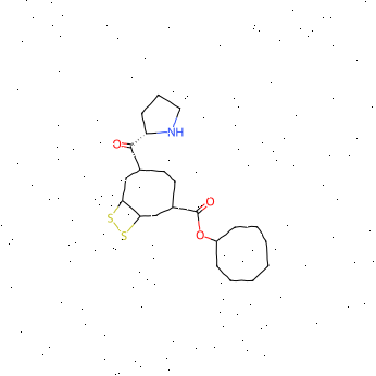 O=C(OC1CCCCCCC1)C1CCC(C(=O)[C@@H]2CCCN2)CC2SSC2C1